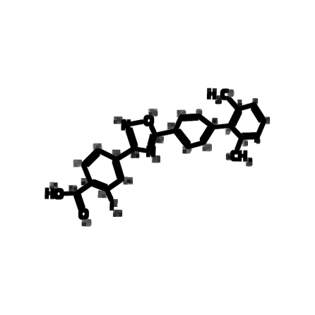 Cc1cccc(C)c1-c1ccc(-c2nc(-c3ccc(C(=O)O)c(F)c3)no2)cc1